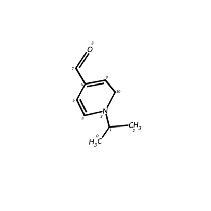 CC(C)N1C=CC(C=O)=CC1